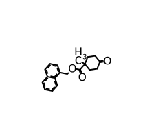 CC1(C(=O)OCc2cccc3ccccc23)CCC(=O)CC1